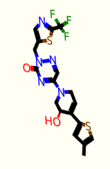 Cc1csc(C2=CCN(c3cnn(Cc4cnc(C(F)(F)F)s4)c(=O)n3)C[C@@H]2O)c1